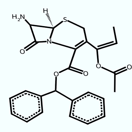 C/C=C(/OC(C)=O)C1=C(C(=O)OC(c2ccccc2)c2ccccc2)N2C(=O)C(N)[C@H]2SC1